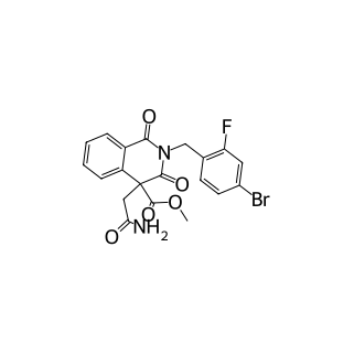 COC(=O)C1(CC(N)=O)C(=O)N(Cc2ccc(Br)cc2F)C(=O)c2ccccc21